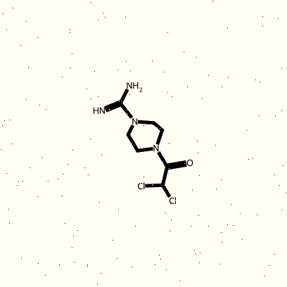 N=C(N)N1CCN(C(=O)C(Cl)Cl)CC1